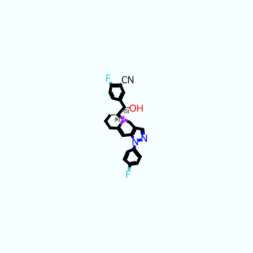 N#Cc1cc([C@H](O)[C@H]2CCCC3=Cc4c(cnn4-c4ccc(F)cc4)CI32)ccc1F